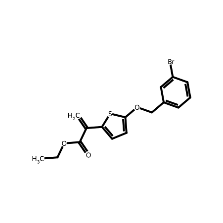 C=C(C(=O)OCC)c1ccc(OCc2cccc(Br)c2)s1